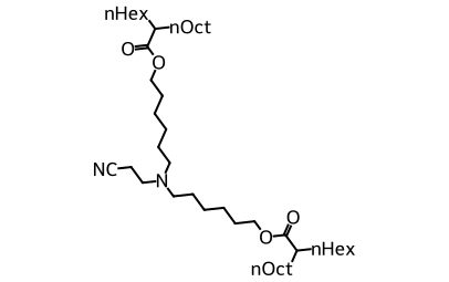 CCCCCCCCC(CCCCCC)C(=O)OCCCCCCN(CCC#N)CCCCCCOC(=O)C(CCCCCC)CCCCCCCC